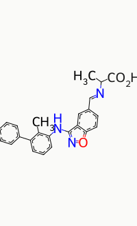 Cc1c(Nc2noc3ccc(C=NC(C)C(=O)O)cc23)cccc1-c1ccccc1